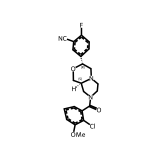 COc1cccc(C(=O)N2CCN3C[C@@H](c4ccc(F)c(C#N)c4)OC[C@@H]3C2)c1Cl